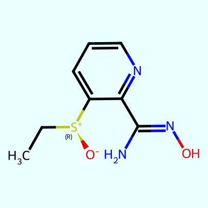 CC[S@+]([O-])c1cccnc1C(N)=NO